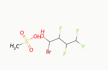 CS(=O)(=O)O.OC(Br)C(F)C(F)C(F)F